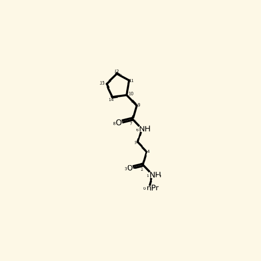 CCCNC(=O)CCNC(=O)CC1CCCC1